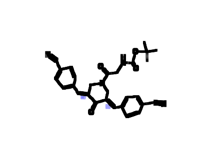 CC(C)(C)OC(=O)NCC(=O)N1C/C(=C\c2ccc(C#N)cc2)C(=O)/C(=C/c2ccc(C#N)cc2)C1